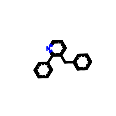 c1ccc(Cc2cccnc2-c2ccccc2)cc1